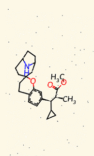 COC(=O)[C@@H](C)[C@H](c1ccc2c(c1)OC1(CC2)CCC2CCC(C1)N2)C1CC1